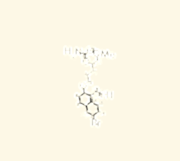 COCC(CCCOc1ccc2cc(Br)ccc2c1CO)OC(N)=O